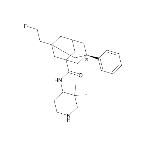 CC1(C)CNCCC1NC(=O)C12CC3CC(CCF)(C1)C[C@](c1ccccc1)(C3)C2